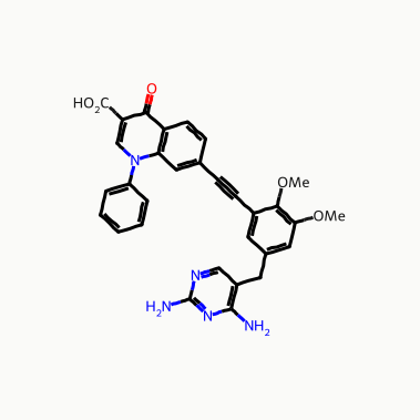 COc1cc(Cc2cnc(N)nc2N)cc(C#Cc2ccc3c(=O)c(C(=O)O)cn(-c4ccccc4)c3c2)c1OC